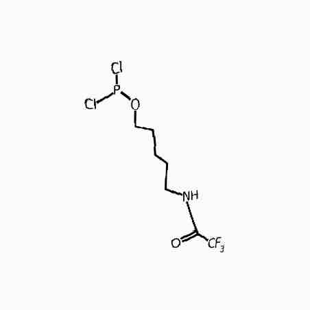 O=C(NCCCCCOP(Cl)Cl)C(F)(F)F